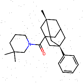 CC1(C)CCCN(C(=O)C23CC4C[C@@](C)(C2)C[C@](c2ccccc2)(C4)C3)C1